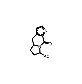 CC(=O)C1CCC2Cc3cc[nH]c3C(=O)N21